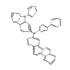 C1=CCC2C(=C1)c1ccc(N(c3ccc(-c4ccccc4)cc3)c3ccc4ccc5c6ccccc6ccc5c4c3)cc1N2c1ccccc1